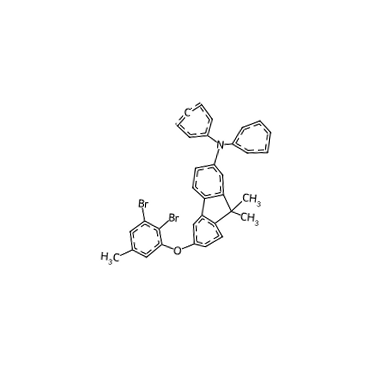 Cc1cc(Br)c(Br)c(Oc2ccc3c(c2)-c2ccc(N(c4ccccc4)c4ccccc4)cc2C3(C)C)c1